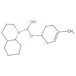 CC1=CCC(OC(O)N2CCCC3CCCCC32)CC1